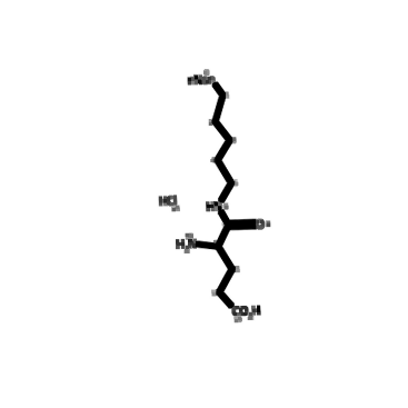 CCCCCCCCCCCCCCNC(=O)C(N)CCC(=O)O.Cl